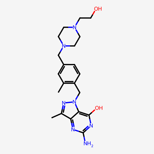 Cc1cc(CN2CCN(CCO)CC2)ccc1Cn1nc(C)c2nc(N)nc(O)c21